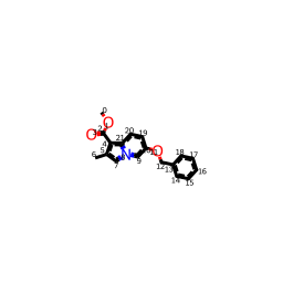 COC(=O)c1c(C)cn2cc(OCc3ccccc3)ccc12